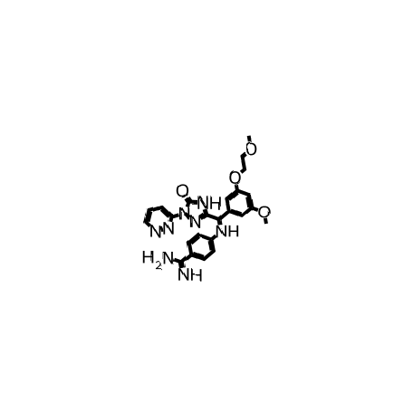 COCCOc1cc(OC)cc(C(Nc2ccc(C(=N)N)cc2)c2nn(-c3cccnn3)c(=O)[nH]2)c1